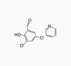 O=Cc1cc(Cl)cc(Cl)c1O.c1ccncc1